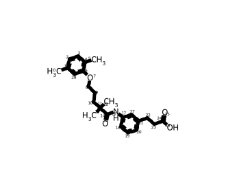 Cc1ccc(C)c(OCCCC(C)(C)C(=O)Nc2cccc(CCC(=O)O)c2)c1